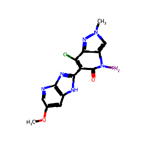 COc1cnc2nc(-c3c(Cl)c4nn(C)cc4n(P)c3=O)[nH]c2c1